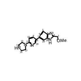 COCc1nc2ccc(-c3ccc(N4CCNCC4)nc3)cc2[nH]1